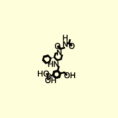 CC(=O)NCC(=O)N1CC[C@H](NCc2cc(B(O)O)ccc2CO)[C@H](C2C=CC=CC2)C1